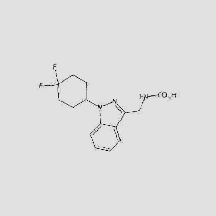 O=C(O)NCc1nn(C2CCC(F)(F)CC2)c2ccccc12